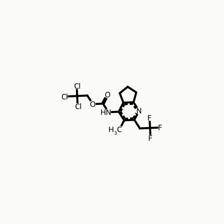 Cc1c(CC(F)(F)F)nc2c(c1NC(=O)OCC(Cl)(Cl)Cl)CCC2